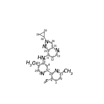 Cc1ccc(F)c(-c2cc(Nc3ccnc4cn(C5CC5)nc34)c(C)cn2)n1